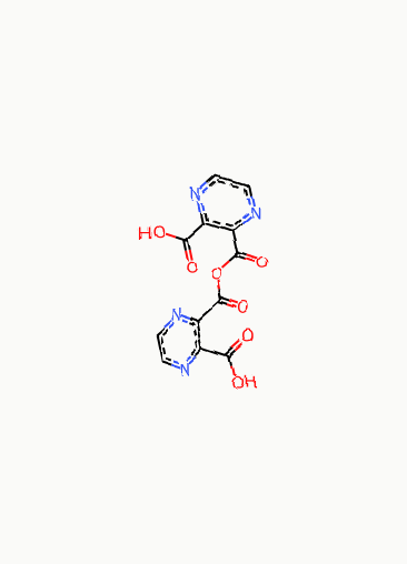 O=C(O)c1nccnc1C(=O)OC(=O)c1nccnc1C(=O)O